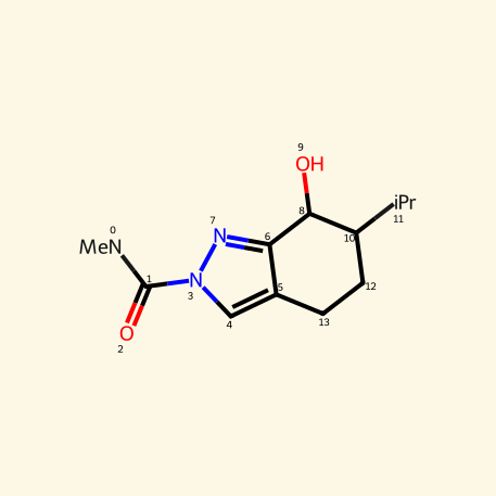 CNC(=O)n1cc2c(n1)C(O)C(C(C)C)CC2